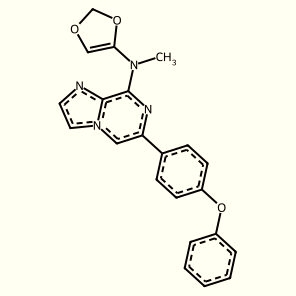 CN(C1=COCO1)c1nc(-c2ccc(Oc3ccccc3)cc2)cn2ccnc12